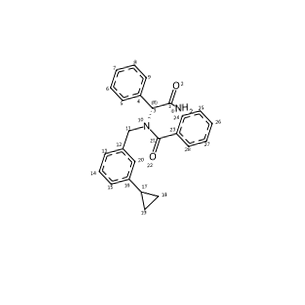 NC(=O)[C@@H](c1ccccc1)N(Cc1cccc(C2CC2)c1)C(=O)c1ccccc1